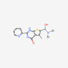 CCN(CC)C(O)c1sc2[nH]c(-c3ccccn3)nc(=O)c2c1C